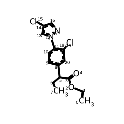 CCOC(=O)C(CC)c1ccc(-n2cc(Cl)cn2)c(Cl)c1